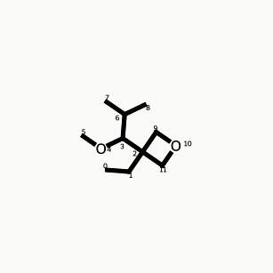 CCC1(C(OC)C(C)C)COC1